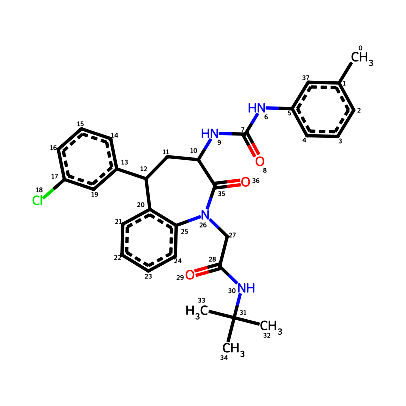 Cc1cccc(NC(=O)NC2CC(c3cccc(Cl)c3)c3ccccc3N(CC(=O)NC(C)(C)C)C2=O)c1